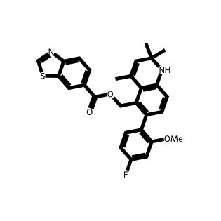 COc1cc(F)ccc1-c1ccc2c(c1COC(=O)c1ccc3ncsc3c1)C(C)=CC(C)(C)N2